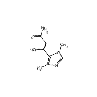 Cc1ncn(C)c1C(O)CC(N)=O